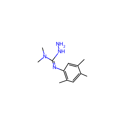 Cc1cc(C)c(/N=C(\NN)N(C)C)cc1C